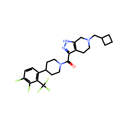 O=C(c1n[nH]c2c1CCN(CC1CCC1)C2)N1CCC(c2ccc(F)c(F)c2C(F)(F)F)CC1